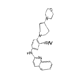 N#Cc1cc(Nc2ccc3ccccc3n2)ccc1N1CCC(N2CCOCC2)CC1